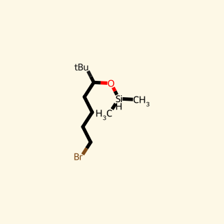 C[SiH](C)OC(CCCCBr)C(C)(C)C